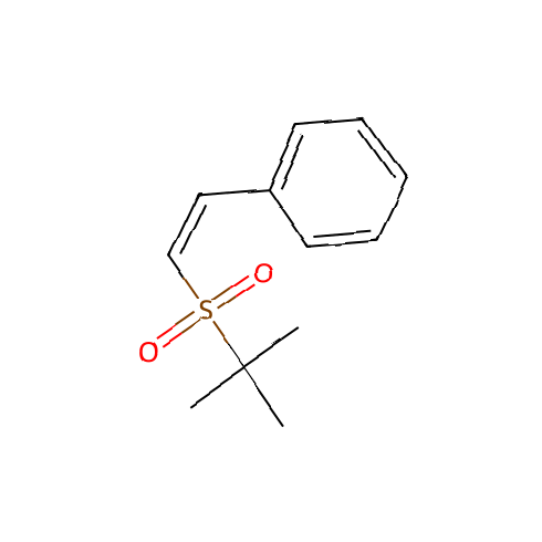 CC(C)(C)S(=O)(=O)/C=C\c1ccccc1